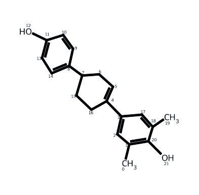 Cc1cc(C2=CCC(c3ccc(O)cc3)CC2)cc(C)c1O